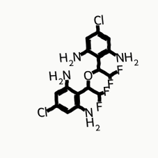 Nc1cc(Cl)cc(N)c1C(OC(c1c(N)cc(Cl)cc1N)C(F)F)C(F)F